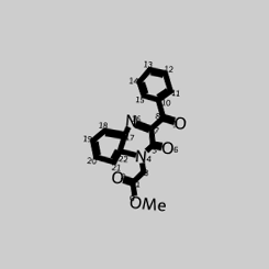 COC(=O)Cn1c(=O)c(C(=O)c2ccccc2)nc2ccccc21